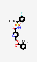 Cc1ccccc1C(=O)OCc1ccc(C(=O)NS(=O)(=O)C(C=O)c2cccc(F)c2)cn1